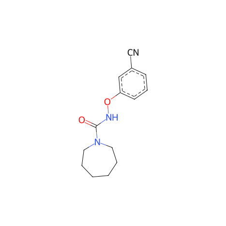 N#Cc1cccc(ONC(=O)N2CCCCCC2)c1